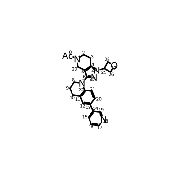 CC(=O)N1CCc2c(c(N3CCCc4cc(-c5cccnc5)ccc43)nn2C2COC2)C1